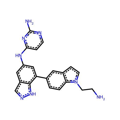 NCCn1ccc2cc(-c3cc(Nc4ccnc(N)n4)cc4cn[nH]c34)ccc21